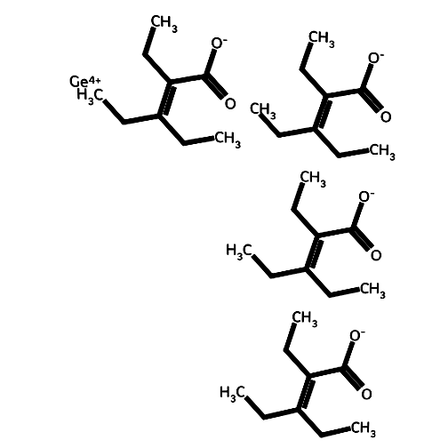 CCC(CC)=C(CC)C(=O)[O-].CCC(CC)=C(CC)C(=O)[O-].CCC(CC)=C(CC)C(=O)[O-].CCC(CC)=C(CC)C(=O)[O-].[Ge+4]